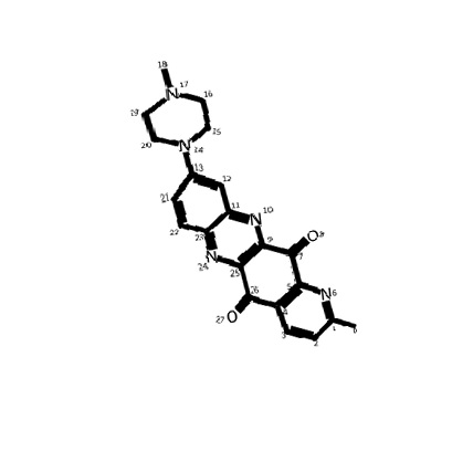 Cc1ccc2c(n1)C(=O)c1nc3cc(N4CCN(C)CC4)ccc3nc1C2=O